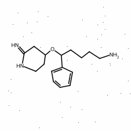 N=C1CC(OC(CCCCN)c2ccccc2)CCN1